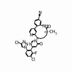 C[C@@H]1CCC[C@H](n2cnc(-c3c(-n4cc(Cl)nn4)ccc(Cl)c3F)cc2=O)c2cc(ccn2)-c2ccc(C#N)cc2NC1=O